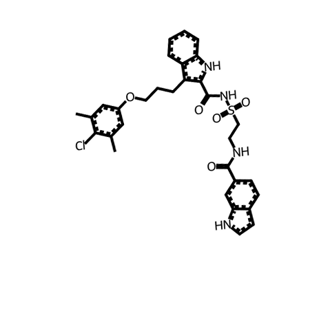 Cc1cc(OCCCc2c(C(=O)NS(=O)(=O)CCNC(=O)c3ccc4cc[nH]c4c3)[nH]c3ccccc23)cc(C)c1Cl